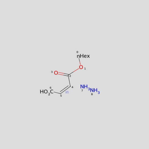 CCCCCCOC(=O)/C=C\C(=O)O.N.N